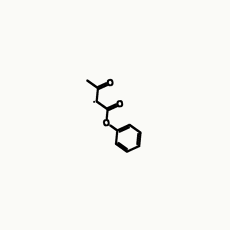 CC(=O)[CH]C(=O)Oc1ccccc1